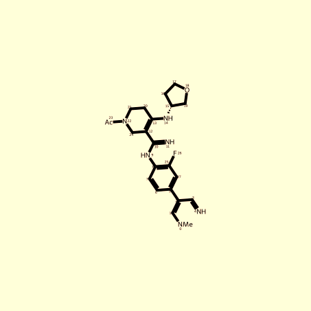 CN/C=C(\C=N)c1ccc(NC(=N)C2=C(N[C@@H]3CCOC3)CCN(C(C)=O)C2)c(F)c1